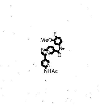 COc1cc(N(C)C(=O)c2ccc3ncc(-c4ccc(NC(C)=O)nc4)n3c2)ccc1F